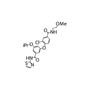 COCCNC(=O)c1ccc(Oc2cc(OC(C)C)cc(C(=O)Nc3nccs3)c2)c(Cl)c1